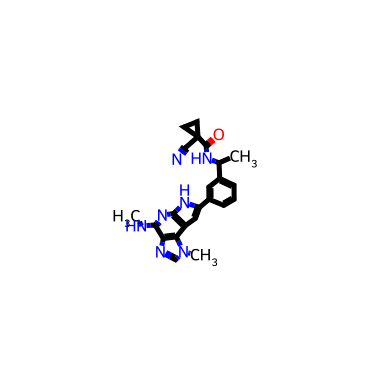 CNc1nc2[nH]c(-c3cccc(C(C)NC(=O)C4(C#N)CC4)c3)cc2c2c1ncn2C